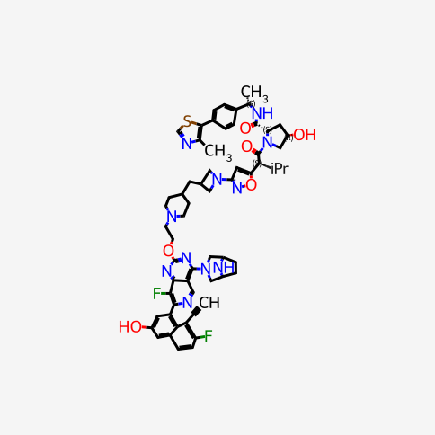 C#Cc1c(F)ccc2cc(O)cc(-c3ncc4c(N5CC6CCC(C5)N6)nc(OCCN5CCC(CC6CN(c7cc([C@@H](C(=O)N8C[C@H](O)C[C@H]8C(=O)N[C@@H](C)c8ccc(-c9scnc9C)cc8)C(C)C)on7)C6)CC5)nc4c3F)c12